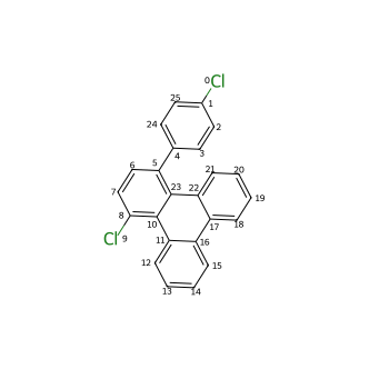 Clc1ccc(-c2ccc(Cl)c3c4ccccc4c4ccccc4c23)cc1